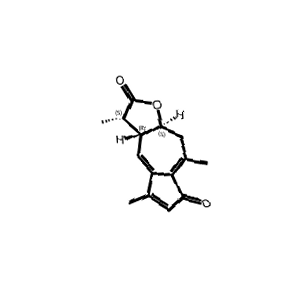 CC1=CC(=O)C2=C(C)C[C@@H]3OC(=O)[C@@H](C)[C@H]3C=C12